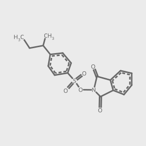 CCC(C)c1ccc(S(=O)(=O)ON2C(=O)c3ccccc3C2=O)cc1